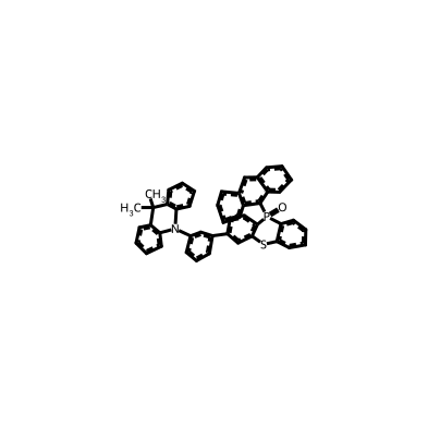 CC1(C)c2ccccc2N(c2cccc(-c3ccc4c(c3)Sc3ccccc3P4(=O)c3c4ccccc4cc4ccccc34)c2)c2ccccc21